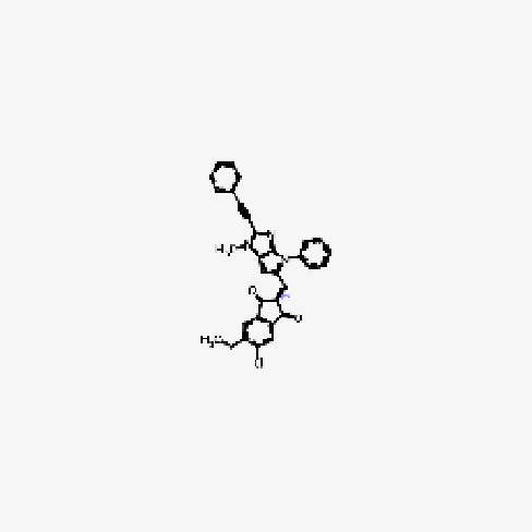 CCc1cc2c(cc1Cl)C(=O)/C(=C/c1cc3c(nc(C#Cc4ccccc4)n3C)n1-c1ccccc1)C2=O